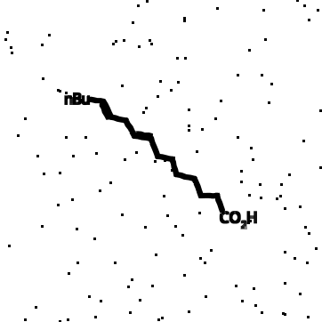 CCCCC=CCC=CCCCCCCC(=O)O